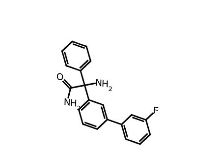 NC(=O)C(N)(c1ccccc1)c1cccc(-c2cccc(F)c2)c1